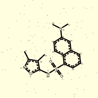 Cc1noc(NS(=O)(=O)c2cccc3cc(N(C)C)ccc23)c1C